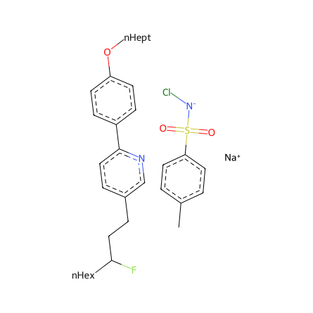 CCCCCCCOc1ccc(-c2ccc(CCC(F)CCCCCC)cn2)cc1.Cc1ccc(S(=O)(=O)[N-]Cl)cc1.[Na+]